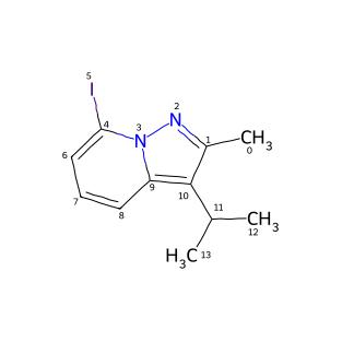 Cc1nn2c(I)cccc2c1C(C)C